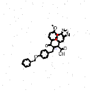 COc1ccc(C(=O)/C(Cc2ccc(OCc3ccccc3)cc2)=C(/C(=O)O)c2ccc3nsnc3c2)cc1